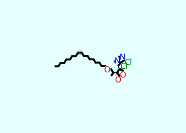 CCCCCCCC/C=C\CCCCCCCCOCC(C)[C@@H]1C(=O)OC[C@@H]1CC1(Cl)C(Cl)N=CN1C